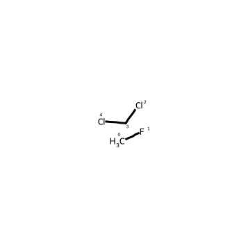 CF.ClCCl